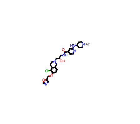 CC(=O)N1CCC(Nc2cc(C(=O)NC[C@H](O)CN3CCc4c(ccc(OCc5cnco5)c4Cl)C3)ccn2)CC1